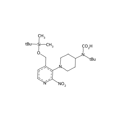 CC(C)(C)N(C(=O)O)C1CCN(c2c(CO[Si](C)(C)C(C)(C)C)ccnc2[N+](=O)[O-])CC1